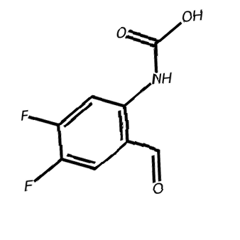 O=Cc1cc(F)c(F)cc1NC(=O)O